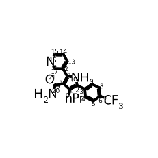 CCCc1c(-c2ccc(C(F)(F)F)cc2)[nH]c(-c2cccnc2)c1C(N)=O